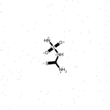 [NH]S(=O)(=O)NC(N)=S